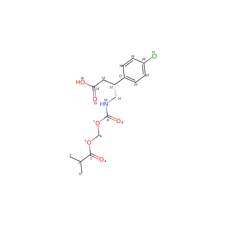 CC(C)C(=O)OCOC(=O)NC[C@H](CC(=O)O)c1ccc(Cl)cc1